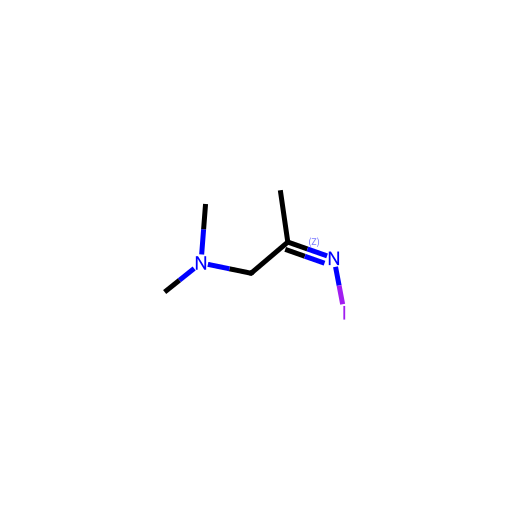 C/C(CN(C)C)=N/I